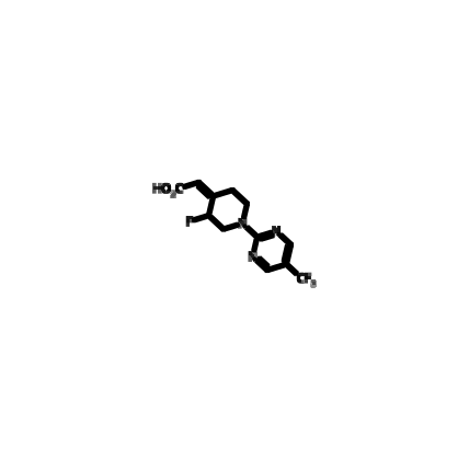 O=C(O)/C=C1/CCN(c2ncc(C(F)(F)F)cn2)CC1F